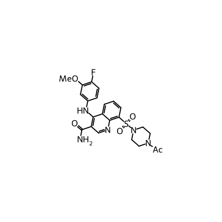 COc1cc(Nc2c(C(N)=O)cnc3c(S(=O)(=O)N4CCN(C(C)=O)CC4)cccc23)ccc1F